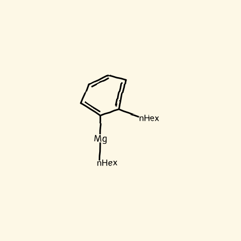 CCCCC[CH2][Mg][c]1ccccc1CCCCCC